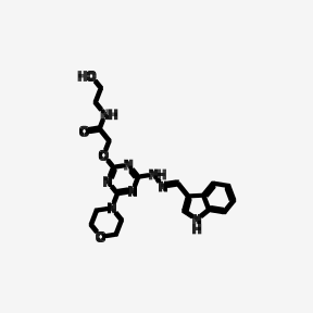 O=C(COc1nc(N/N=C/c2c[nH]c3ccccc23)nc(N2CCOCC2)n1)NCCO